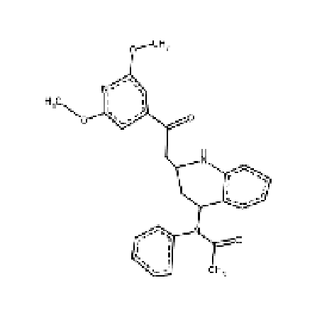 COc1cc(C(=O)CC2CC(N(C(C)=O)c3ccccc3)c3ccccc3N2)cc(OC)n1